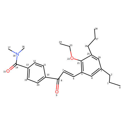 CCCc1cc(C=CC(=O)c2ccc(C(=O)N(C)C)cc2)c(OCC)c(CCC)c1